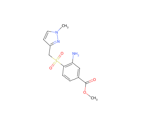 COC(=O)c1ccc(S(=O)(=O)Cc2ccn(C)n2)c(N)c1